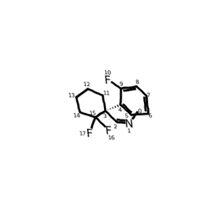 C/N=C\[C@]1(c2ccccc2F)CCCCC1(F)F